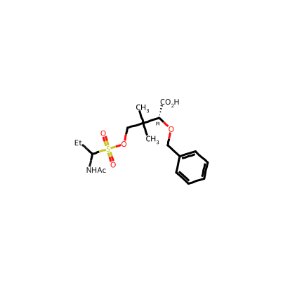 CCC(NC(C)=O)S(=O)(=O)OCC(C)(C)[C@@H](OCc1ccccc1)C(=O)O